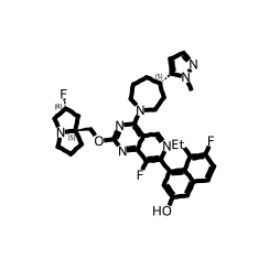 CCc1c(F)ccc2cc(O)cc(-c3ncc4c(N5CCC[C@H](c6ccnn6C)CC5)nc(OC[C@@]56CCCN5C[C@H](F)C6)nc4c3F)c12